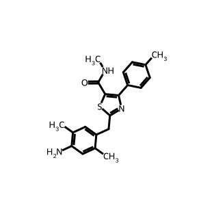 CNC(=O)c1sc(Cc2cc(C)c(N)cc2C)nc1-c1ccc(C)cc1